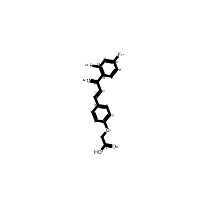 O=C(O)COc1ccc(/C=C/C(=O)c2ccc(F)cc2F)cc1